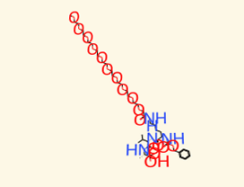 COCCOCCOCCOCCOCCOCCOCCOCCOCCOCC(=O)NCCCCC(NC(=O)OCc1ccccc1)C(=O)N[C@H](C(=O)N[C@@H](C)C(=O)O)C(C)C